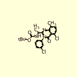 Cc1ccc(Cl)c2c(=O)n(-c3cccc(Cl)c3)c([C@H](C)NC(=O)OC(C)(C)C)nc12